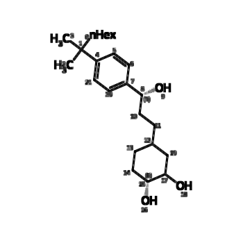 CCCCCCC(C)(C)c1ccc([C@H](O)CCC2CC[C@@H](O)C(O)C2)cc1